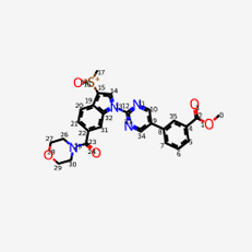 COC(=O)c1cccc(-c2cnc(-n3cc([S+](C)[O-])c4ccc(C(=O)N5CCOCC5)cc43)nc2)c1